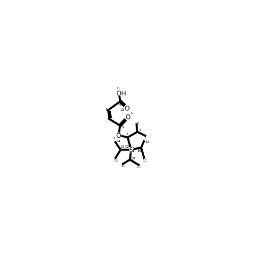 CC(C)C(OC(=O)/C=C\C(=O)O)[Si](C(C)C)(C(C)C)C(C)C